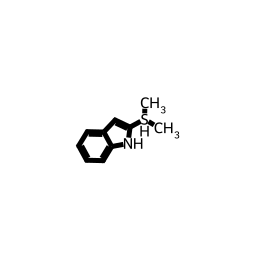 C[SH](C)c1cc2ccccc2[nH]1